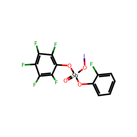 [O]=[Sb]([O]I)([O]c1ccccc1F)[O]c1c(F)c(F)c(F)c(F)c1F